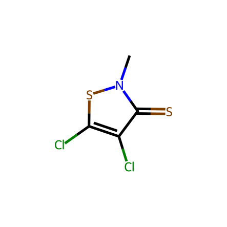 Cn1sc(Cl)c(Cl)c1=S